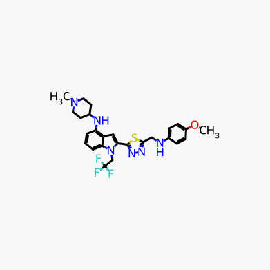 COc1ccc(NCc2nnc(-c3cc4c(NC5CCN(C)CC5)cccc4n3CC(F)(F)F)s2)cc1